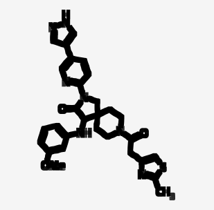 COc1cccc(NC2C(=O)N(c3ccc(-c4cn[nH]c4)cn3)CC23CCN(C(=O)Cc2csc(C)n2)CC3)c1